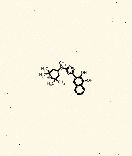 CN(c1nnc(-c2cc3ccccc3c(O)c2O)s1)C1CC(C)(C)NC(C)(C)C1